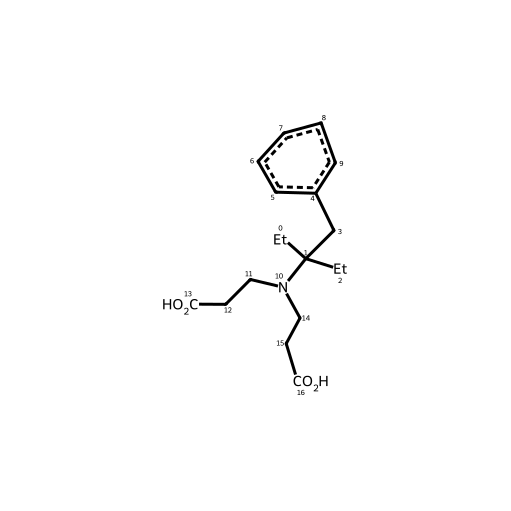 CCC(CC)(Cc1ccccc1)N(CCC(=O)O)CCC(=O)O